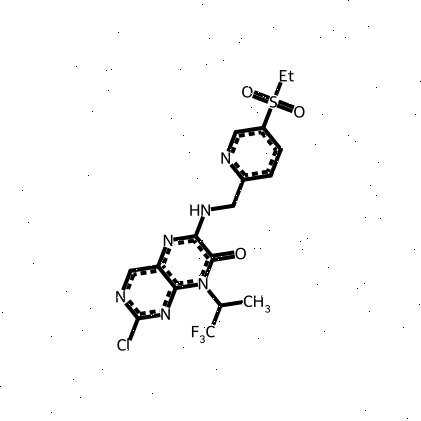 CCS(=O)(=O)c1ccc(CNc2nc3cnc(Cl)nc3n(C(C)C(F)(F)F)c2=O)nc1